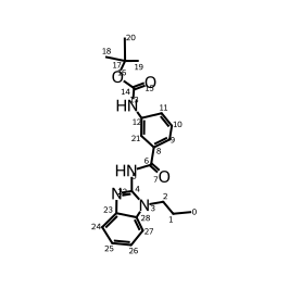 CCCn1c(NC(=O)c2cccc(NC(=O)OC(C)(C)C)c2)nc2ccccc21